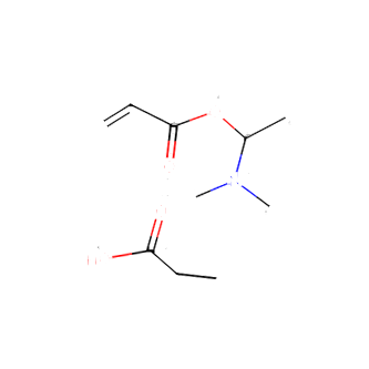 C=CC(=O)OC(C)N(C)C.CCC(=O)O